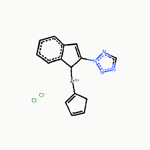 C1=CC[C]([Zr+2][CH]2C(n3ncnn3)=Cc3ccccc32)=C1.[Cl-].[Cl-]